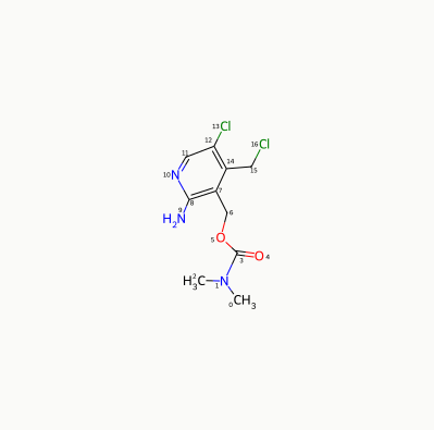 CN(C)C(=O)OCc1c(N)ncc(Cl)c1CCl